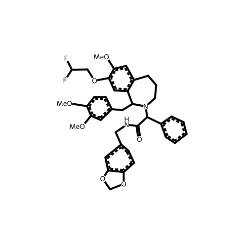 COc1ccc(CC2c3cc(OCC(F)F)c(OC)cc3CCCN2C(C(=O)NCc2ccc3c(c2)OCO3)c2ccccc2)cc1OC